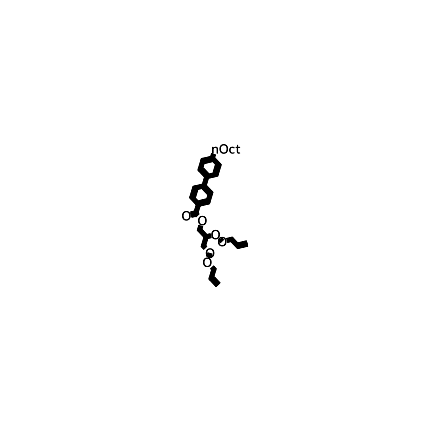 C=CCOOCC(COC(=O)c1ccc(-c2ccc(CCCCCCCC)cc2)cc1)OOCC=C